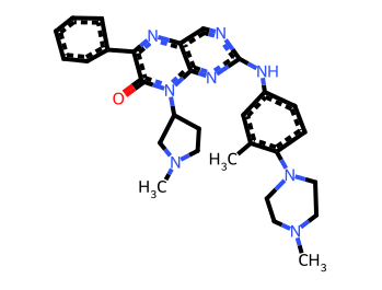 Cc1cc(Nc2ncc3nc(-c4ccccc4)c(=O)n(C4CCN(C)C4)c3n2)ccc1N1CCN(C)CC1